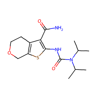 CC(C)N(C(=O)Nc1sc2c(c1C(N)=O)CCOC2)C(C)C